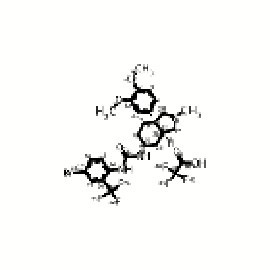 COc1ccc([C@@]23CC[C@@H](NC(=O)Nc4ccc(Br)cc4C(F)(F)F)C[C@@H]2CN(C)C3)cc1OC.O=C(O)C(F)(F)F